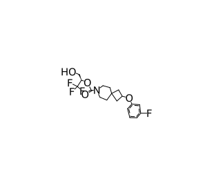 O=C(O[C@H](CO)C(F)(F)F)N1CCC2(CC1)CC(Oc1cccc(F)c1)C2